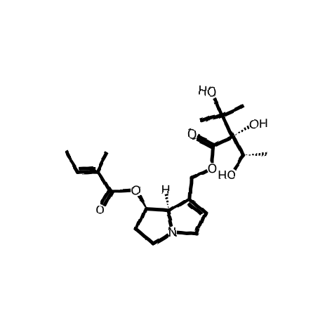 C/C=C(\C)C(=O)O[C@@H]1CCN2CC=C(COC(=O)[C@](O)([C@H](C)O)C(C)(C)O)[C@H]12